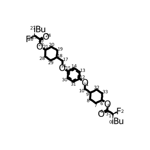 CC[C@H](C)[C@H](F)C(=O)OC1CCC(COc2ccc(OCC3CCC(OC(=O)[C@@H](F)[C@@H](C)CC)CC3)cc2)CC1